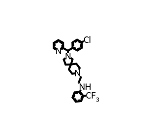 FC(F)(F)c1ccccc1NCCN1CCC2(CC1)CCN(C(c1ccc(Cl)cc1)c1ccccn1)C2